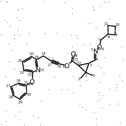 CC1(C)C(C=NOCC2CCC2)C1C(=O)OC#CCc1cccc(Oc2ccccc2)n1